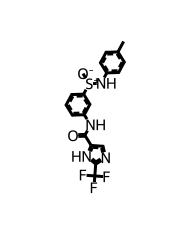 Cc1ccc(N[S+]([O-])c2cccc(NC(=O)c3cnc(C(F)(F)F)[nH]3)c2)cc1